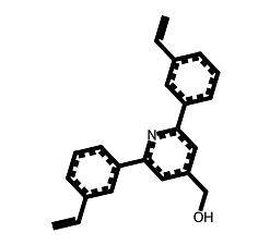 C=Cc1cccc(-c2cc(CO)cc(-c3cccc(C=C)c3)n2)c1